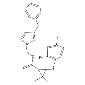 CC1(C)C(Oc2ccc(C(F)(F)F)cc2F)C1C(=O)OCn1ccc(Cc2ccccc2)c1